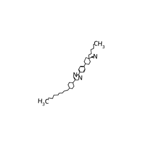 CCCCCCCCCC1CCC(c2cnc(-c3ccc(C4CCC(C#N)(CCCCCC)CC4)cc3)nc2)CC1